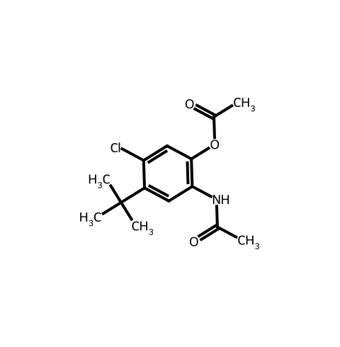 CC(=O)Nc1cc(C(C)(C)C)c(Cl)cc1OC(C)=O